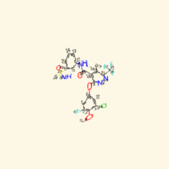 COc1c(F)cc(Oc2nnc(C(F)(F)F)c(C)c2C(=O)Nc2cccc(S(C)(=N)=O)c2)cc1Cl